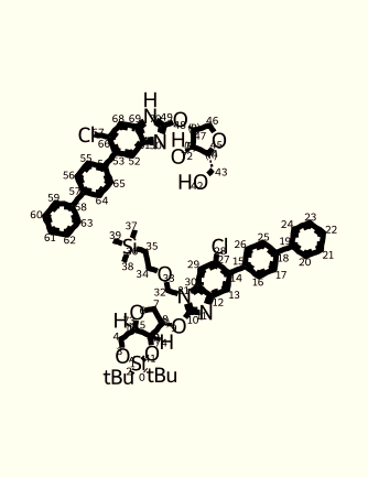 CC(C)(C)[Si]1(C(C)(C)C)OC[C@H]2OC[C@@H](Oc3nc4cc(-c5ccc(-c6ccccc6)cc5)c(Cl)cc4n3COCC[Si](C)(C)C)[C@@H]2O1.OC[C@H]1OC[C@@H](Oc2nc3cc(-c4ccc(-c5ccccc5)cc4)c(Cl)cc3[nH]2)[C@@H]1O